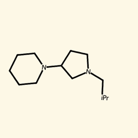 CC(C)CN1CCC(N2CCCCC2)C1